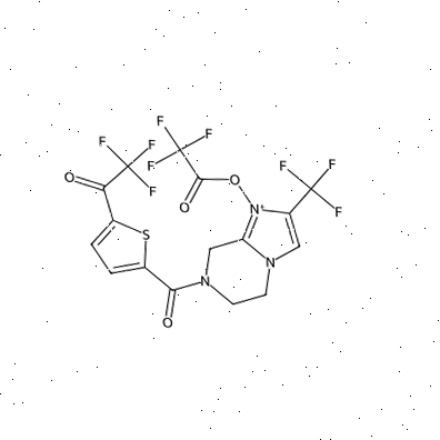 O=C(c1ccc(C(=O)C(F)(F)F)s1)N1CCn2cc(C(F)(F)F)[n+](OC(=O)C(F)(F)F)c2C1